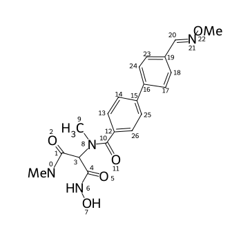 CNC(=O)C(C(=O)NO)N(C)C(=O)c1ccc(-c2ccc(/C=N/OC)cc2)cc1